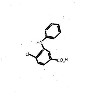 O=C(O)c1ccc(Cl)c(Nc2ccccc2)c1